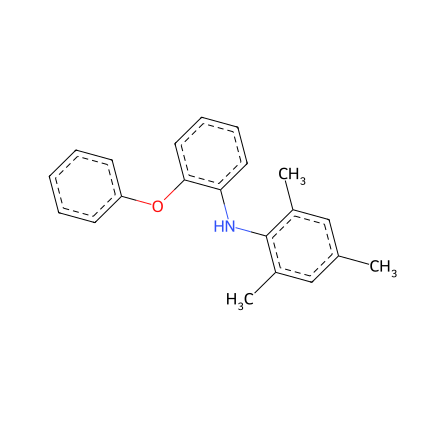 Cc1cc(C)c(Nc2ccccc2Oc2ccccc2)c(C)c1